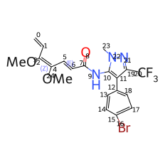 C=C/C(OC)=C(\C=C\C(=O)Nc1c(-c2ccc(Br)cc2)c(C(F)(F)F)nn1C)OC